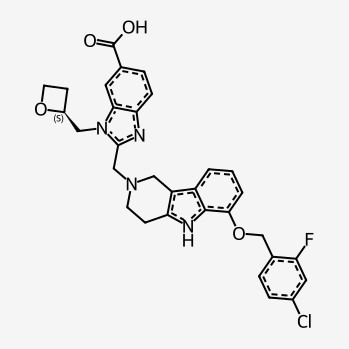 O=C(O)c1ccc2nc(CN3CCc4[nH]c5c(OCc6ccc(Cl)cc6F)cccc5c4C3)n(C[C@@H]3CCO3)c2c1